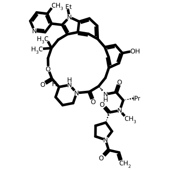 C=CC(=O)N1CC[C@H](C(=O)N(C)[C@H](C(=O)N[C@H]2Cc3cc(O)cc(c3)-c3ccc4c(c3)c(c(-c3cnccc3C)n4CC)CC(C)(C)COC(=O)[C@@H]3CCCN(N3)C2=O)C(C)C)C1